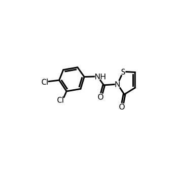 O=C(Nc1ccc(Cl)c(Cl)c1)n1sccc1=O